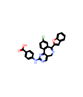 O=C(O)c1ccc(Nc2ncc3c(n2)-c2ccc(Cl)cc2C(c2cc4ccccc4o2)=NC3)cc1